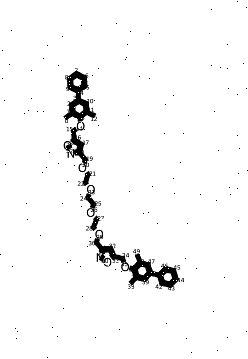 Cc1cc(-c2ccccc2)cc(C)c1OCc1cc(COCCOCCOCCOCc2cc(COc3c(C)cc(-c4ccccc4)cc3C)on2)no1